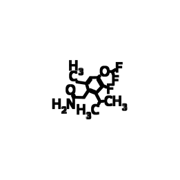 CCc1cc(OC(F)F)c(F)c(C(C)C)c1CC(N)=O